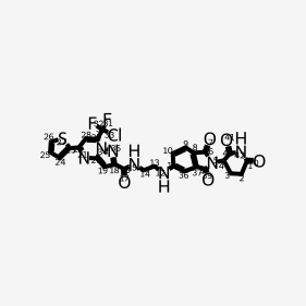 O=C1CCC(N2C(=O)c3ccc(NCCNC(=O)c4cc5nc(-c6cccs6)cc(C(F)(F)Cl)n5n4)cc3C2=O)C(=O)N1